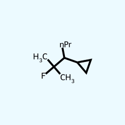 CCCC(C1CC1)C(C)(C)F